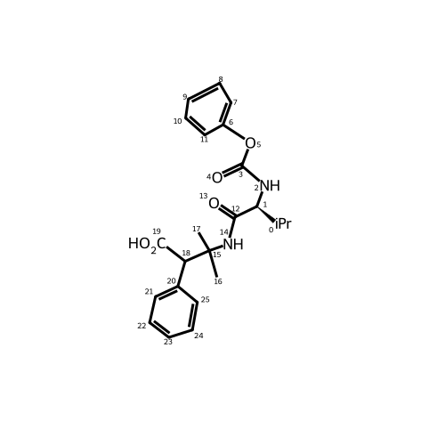 CC(C)[C@H](NC(=O)Oc1ccccc1)C(=O)NC(C)(C)C(C(=O)O)c1ccccc1